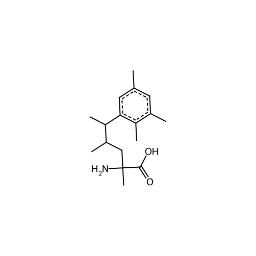 Cc1cc(C)c(C)c(C(C)C(C)CC(C)(N)C(=O)O)c1